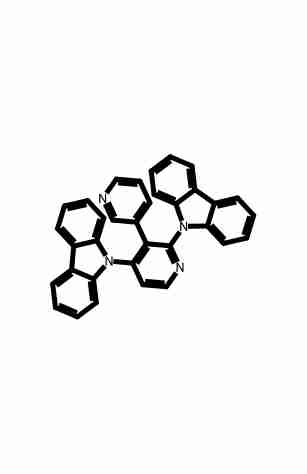 c1cncc(-c2c(-n3c4ccccc4c4ccccc43)ccnc2-n2c3ccccc3c3ccccc32)c1